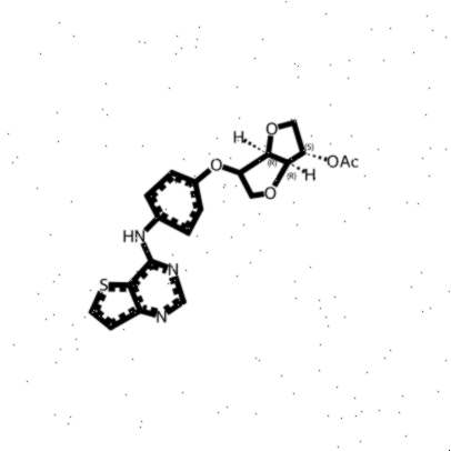 CC(=O)O[C@H]1CO[C@@H]2C(Oc3ccc(Nc4ncnc5ccsc45)cc3)CO[C@H]12